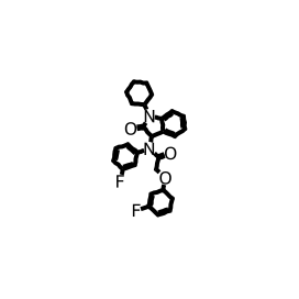 O=C1C(N(C(=O)COC2C=C(F)C=CC2)c2cccc(F)c2)c2ccccc2N1C1CCCCC1